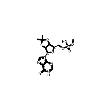 COP(=O)(O)OC[C@H]1O[C@@H](n2cnc3c(=O)[nH]cnc32)C2OC(C)(C)OC21